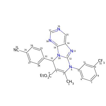 CCOC(=O)C1=C(C)N(c2cccc(C(F)(F)F)c2)c2nc3cncnc3n2C1c1ccc(C#N)cc1